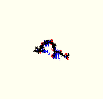 C/C=C\C(=O)N(C=O)CCCCCC(=O)NCC(=O)NC(CCCNC(N)=O)C(=O)Nc1ccc(COC(=O)N2CCc3ncc(NC(=O)c4ccc5c(c4)N=C(N)CC(C(=O)N(CCC)CCC)=C5)cc3C2)cc1